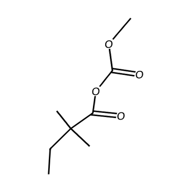 CCC(C)(C)C(=O)OC(=O)OC